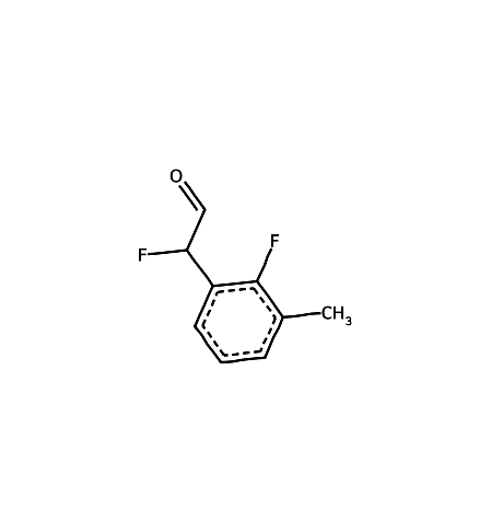 Cc1cccc(C(F)C=O)c1F